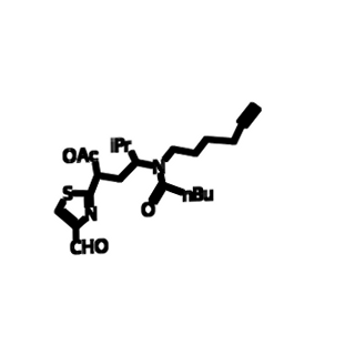 C#CCCCCN(C(=O)CCCC)C(CC(OC(C)=O)c1nc(C=O)cs1)C(C)C